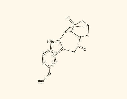 CCCCOc1ccc2[nH]c3c(c2c1)CC(=O)N1CC2CC(=O)C1C3C2